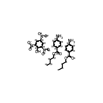 CCCCOC(=O)c1ccc(N)cc1.CCCCOC(=O)c1ccc(N)cc1.O=[N+]([O-])c1cc([N+](=O)[O-])c(O)c([N+](=O)[O-])c1